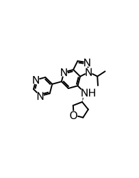 CC(C)n1ncc2nc(-c3cncnc3)cc(N[C@@H]3CCOC3)c21